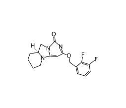 O=c1nc(OCc2cccc(F)c2F)cc2n1C[C@@H]1CCCCN21